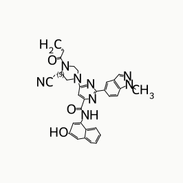 C=CC(=O)N1CCN(c2cc(C(=O)Nc3cc(O)cc4ccccc34)nc(-c3ccc4c(cnn4C)c3)n2)C[C@@H]1CC#N